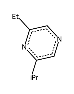 CCc1cncc(C(C)C)n1